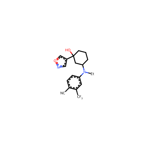 CCN(c1ccc(C#N)c(C(F)(F)F)c1)C1CCCC(O)(c2cnoc2)C1